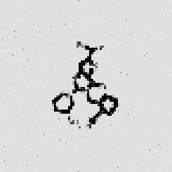 N#Cc1ccccc1Cn1c(N2CCC[C@@H](N)C2)nc2cc(C(Br)Br)sc2c1=O